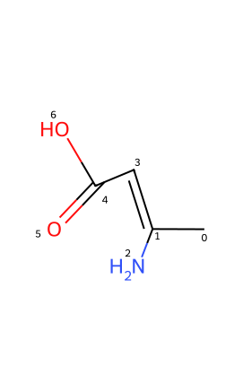 CC(N)=CC(=O)O